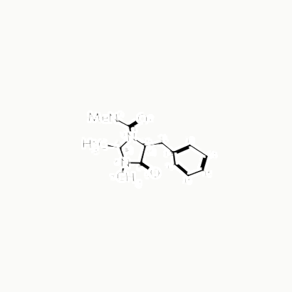 CNC(=O)N1[C@H](C)N(C)C(=O)[C@@H]1Cc1ccccc1